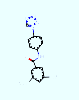 COc1cc(OC)cc(C(=O)Nc2ccc(-n3cnnn3)cc2)c1